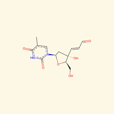 Cc1cn([C@H]2C[C@@](O)(C=CC=O)[C@@H](CO)O2)c(=O)[nH]c1=O